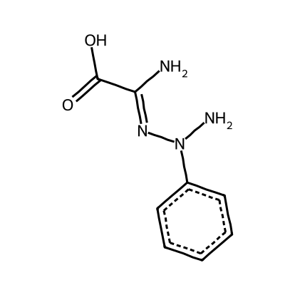 N/C(=N\N(N)c1ccccc1)C(=O)O